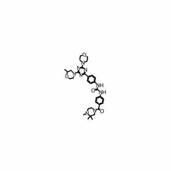 CC1CN(c2nc(-c3ccc(NC(=O)Nc4ccc(C(=O)N5CCN(C)C(C)(C)C5)cc4)cc3)nc(N3CCOCC3)n2)CCO1